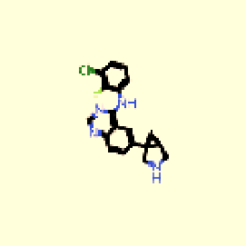 Fc1c(Cl)cccc1Nc1ncnc2ccc(C34CNCC3C4)cc12